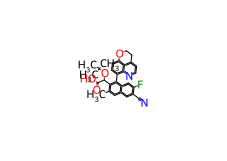 Cc1cc2cc(C#N)c(F)cc2c(-c2ccc3c4c(ccnc24)CCO3)c1[C@H](OC(C)(C)C)C(=O)O